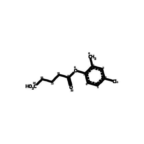 Cc1cc(Cl)ccc1OC(=O)CCCC(=O)O